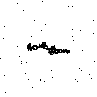 COc1ccc(S(=O)(=O)N(C)CCOCC(=O)N(C)Cc2ccc(C3=NCCN3C)cc2)c(Cl)c1